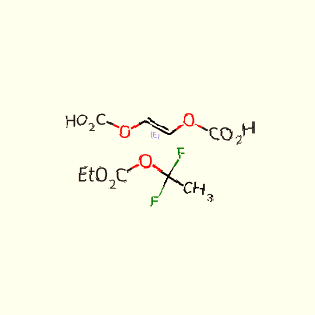 CCOC(=O)OC(C)(F)F.O=C(O)O/C=C/OC(=O)O